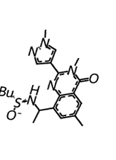 Cc1cc(C(C)N[S@+]([O-])C(C)(C)C)c2nc(-c3cnn(C)c3)n(C)c(=O)c2c1